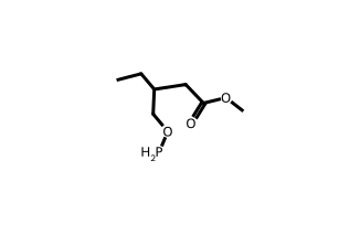 CCC(COP)CC(=O)OC